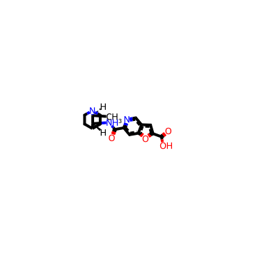 C[C@H]1[C@H](NC(=O)c2cc3oc(C(=O)O)cc3cn2)C2CCN1CC2